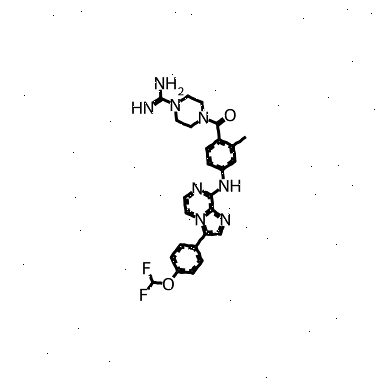 Cc1cc(Nc2nccn3c(-c4ccc(OC(F)F)cc4)cnc23)ccc1C(=O)N1CCN(C(=N)N)CC1